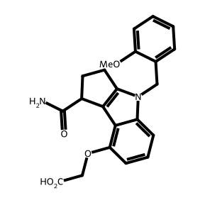 COc1ccccc1Cn1c2c(c3c(OCC(=O)O)cccc31)C(C(N)=O)CC2